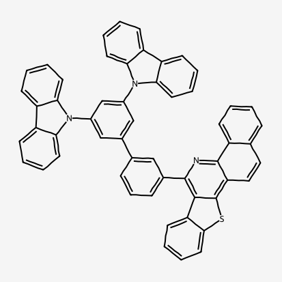 c1cc(-c2cc(-n3c4ccccc4c4ccccc43)cc(-n3c4ccccc4c4ccccc43)c2)cc(-c2nc3c4ccccc4ccc3c3sc4ccccc4c23)c1